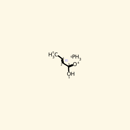 C/C=C/C(=O)O.P